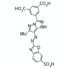 CC(C)(C)c1nn2c(-c3cc(C(=O)O)cc(C(=O)O)c3)n[nH]c2c1N=Nc1nc2ccc(S(=O)(=O)O)cc2o1